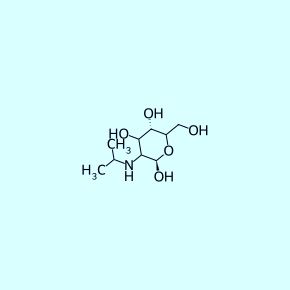 CC(C)NC1C(O)[C@H](O)C(CO)O[C@H]1O